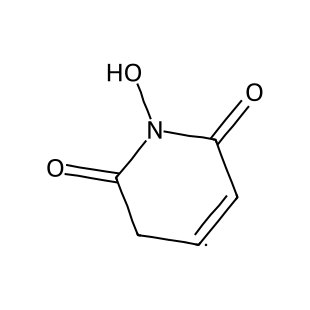 O=C1C=[C]CC(=O)N1O